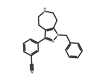 N#Cc1cccc(-c2nn(Cc3ccccc3)c3c2CCNCC3)c1